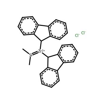 C[Si](C)=[Zr+2]([CH]1c2ccccc2-c2ccccc21)[CH]1c2ccccc2-c2ccccc21.[Cl-].[Cl-]